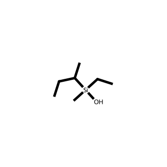 CCC(C)[Si](C)(O)CC